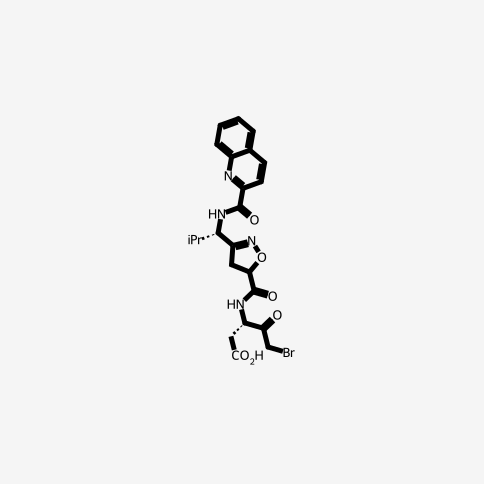 CC(C)[C@H](NC(=O)c1ccc2ccccc2n1)C1=NOC(C(=O)N[C@@H](CC(=O)O)C(=O)CBr)C1